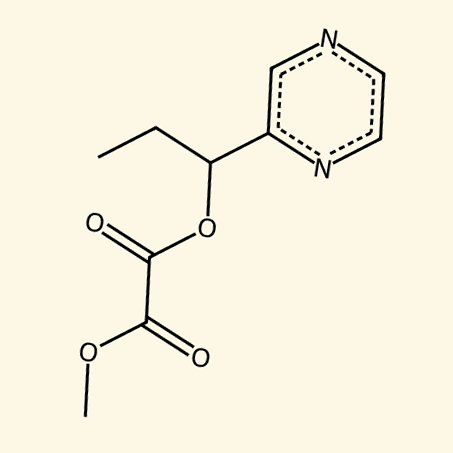 CCC(OC(=O)C(=O)OC)c1cnccn1